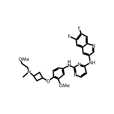 COCCN(C)C1CC(Oc2ccc(Nc3nccc(Nc4cnc5cc(F)c(F)cc5c4)n3)cc2OC)C1